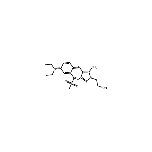 CC[N+](CC)=C1C=C/C(=N/c2c(C)nn(CCO)c2N)C(NS(C)(=O)=O)=C1